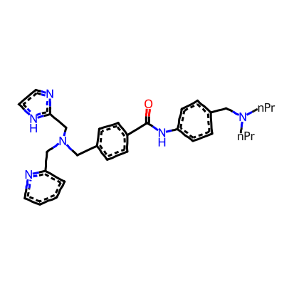 CCCN(CCC)Cc1ccc(NC(=O)c2ccc(CN(Cc3ccccn3)Cc3ncc[nH]3)cc2)cc1